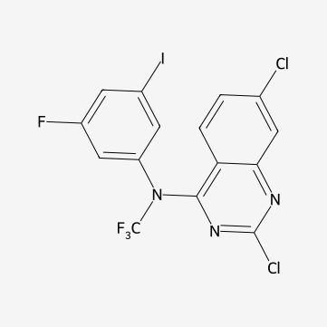 Fc1cc(I)cc(N(c2nc(Cl)nc3cc(Cl)ccc23)C(F)(F)F)c1